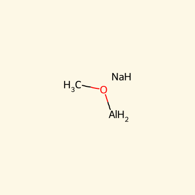 C[O][AlH2].[NaH]